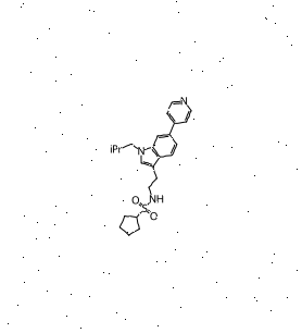 CC(C)Cn1cc(CCNS(=O)(=O)C2CCCC2)c2ccc(-c3ccncc3)cc21